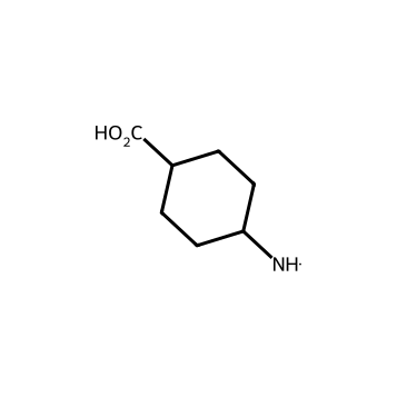 [NH]C1CCC(C(=O)O)CC1